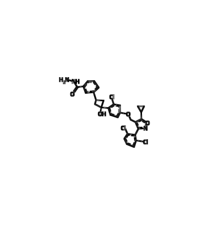 NNC(=O)c1cccc(C2CC(O)(c3ccc(OCc4c(-c5c(Cl)cccc5Cl)noc4C4CC4)cc3Cl)C2)c1